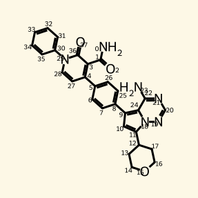 NC(=O)c1c(-c2ccc(-c3cc(C4CCOCC4)n4ncnc(N)c34)cc2)ccn(-c2ccccc2)c1=O